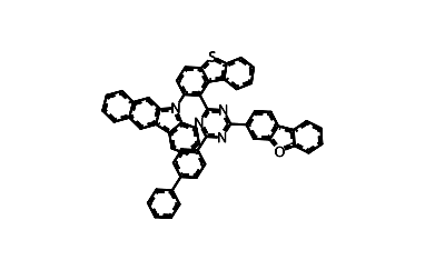 c1ccc(-c2ccc(-c3nc(-c4ccc5c(c4)oc4ccccc45)nc(-c4c(-n5c6ccccc6c6cc7ccccc7cc65)ccc5sc6ccccc6c45)n3)cc2)cc1